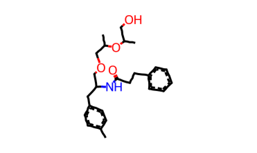 Cc1ccc(CC(COCC(C)OC(C)CO)NC(=O)CCc2ccccc2)cc1